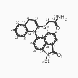 CCN1C(=O)c2cccc3c(N4C(SCC(N)=O)=CCc5ccccc54)ccc1c23